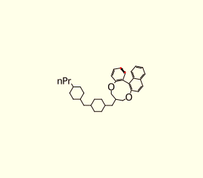 CCCC1CCC(CC2CCC(CC3COc4ccc5ccccc5c4-c4c(ccc5ccccc45)OC3)CC2)CC1